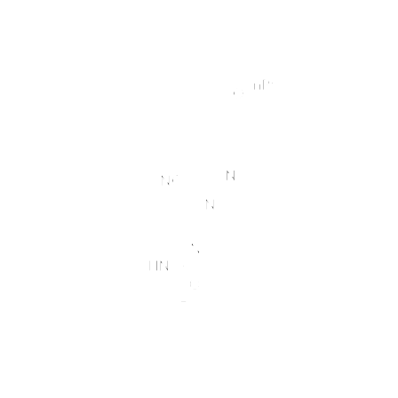 CCCOc1ccc2nc(N3CCCN(C(=O)Nc4ccccc4F)CC3)c(C#N)cc2c1